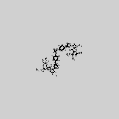 COC(=O)N[C@H](C(=O)N1C[C@@H](C)C[C@H]1c1nc(-c2ccc([C@H]3C[C@@H]3c3ccc(-c4c[nH]c([C@@H]5C[C@H](C)CN5C(=O)[C@@H](NC(=O)O)C(C)C)n4)cc3)cc2)c[nH]1)C(C)C